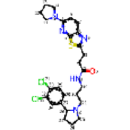 O=C(CCc1nc2ccc(N3CCCC3)nc2s1)NCCCN1CCCC1c1ccc(Cl)c(Cl)c1